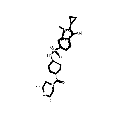 C[C@@H]1CN(C(=O)[C@H]2CC[C@H](NS(=O)(=O)c3ccc4c(C#N)c(C5CC5)n(C)c4c3)CC2)C[C@H](C)O1